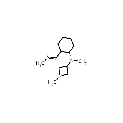 C/N=C/C1CCCC[C@@H]1N(C)C1CN(C)C1